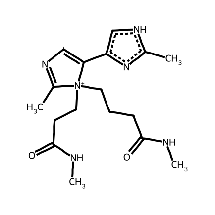 CNC(=O)CCC[N+]1(CCC(=O)NC)C(c2c[nH]c(C)n2)=[C]N=C1C